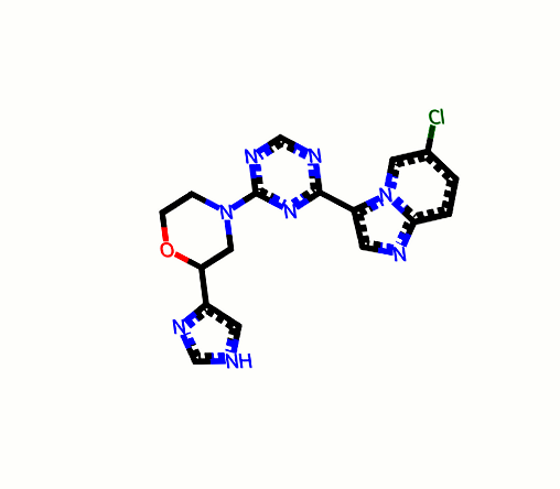 Clc1ccc2ncc(-c3ncnc(N4CCOC(c5c[nH]cn5)C4)n3)n2c1